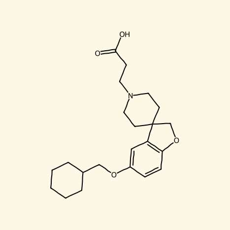 O=C(O)CCN1CCC2(CC1)COc1ccc(OCC3CCCCC3)cc12